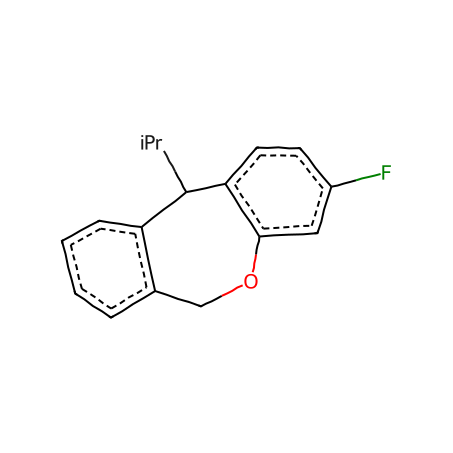 CC(C)C1c2ccccc2COc2cc(F)ccc21